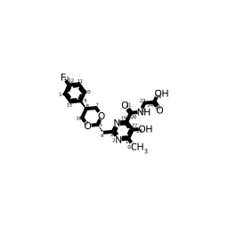 Cc1nc(C[C@H]2OC[C@H](c3ccc(F)cc3)CO2)nc(C(=O)NCC(=O)O)c1O